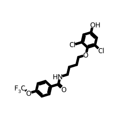 O=C(NCCCCOc1c(Cl)cc(O)cc1Cl)c1ccc(OC(F)(F)F)cc1